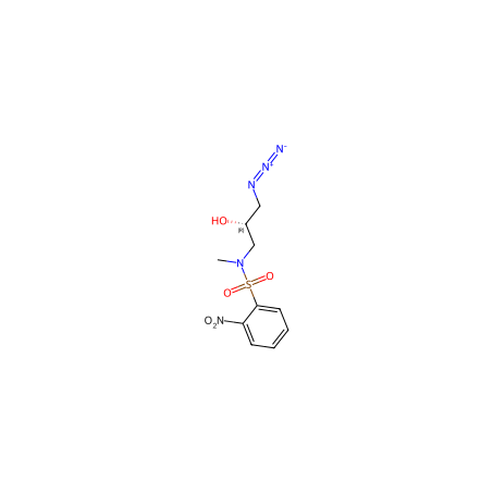 CN(C[C@H](O)CN=[N+]=[N-])S(=O)(=O)c1ccccc1[N+](=O)[O-]